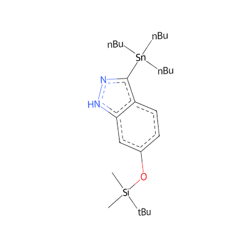 CCC[CH2][Sn]([CH2]CCC)([CH2]CCC)[c]1n[nH]c2cc(O[Si](C)(C)C(C)(C)C)ccc12